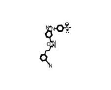 CS(=O)(=O)c1ccc(-n2cnc3ccc(-c4nnc(CCc5cccc(C#N)c5)o4)cc32)cc1